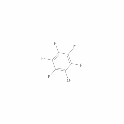 [O]c1c(F)c(F)c(F)c(F)c1F